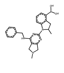 CC1Cc2c(B(O)O)cccc2N1c1nc2c(c(NCc3ccccc3)n1)CN(C)C2